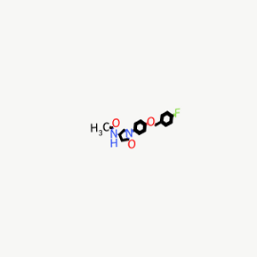 CC(=O)N[C@H]1CC(=O)N(c2ccc(OCc3ccc(F)cc3)cc2)C1